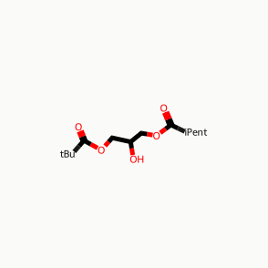 CCCC(C)C(=O)OCC(O)COC(=O)C(C)(C)C